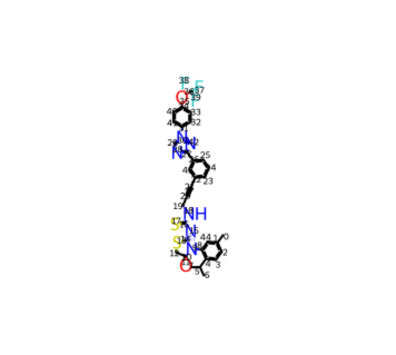 Cc1ccc(C(C)C)c(N2C(=O)CS/C2=N\C(=S)NCC#Cc2cccc(-c3ncn(-c4ccc(OC(F)(F)F)cc4)n3)c2)c1